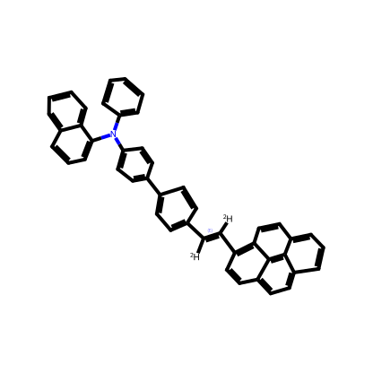 [2H]/C(=C(/[2H])c1ccc2ccc3cccc4ccc1c2c34)c1ccc(-c2ccc(N(c3ccccc3)c3cccc4ccccc34)cc2)cc1